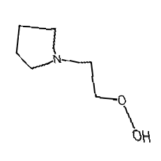 OOCCN1CCCC1